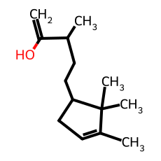 C=C(O)C(C)CCC1CC=C(C)C1(C)C